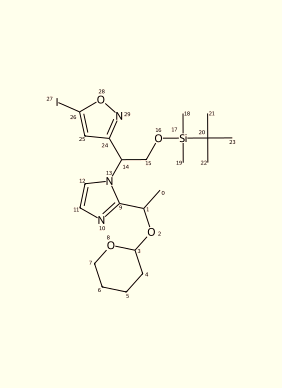 CC(OC1CCCCO1)c1nccn1C(CO[Si](C)(C)C(C)(C)C)c1cc(I)on1